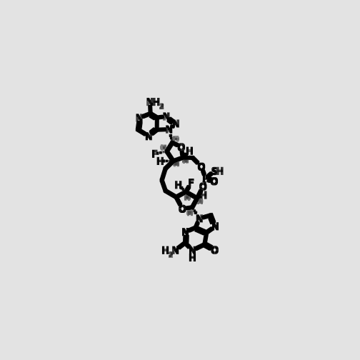 Nc1nc2c(ncn2[C@@H]2OC3CCC[C@H]4[C@H](F)[C@H](n5nnc6c(N)ncnc65)O[C@@H]4COP(=O)(S)O[C@@H]2[C@@H]3F)c(=O)[nH]1